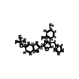 Fc1ccc(C2(Cn3cncn3)COC(c3cc4cc(OC(F)(F)F)ccc4s3)=N2)c(F)c1